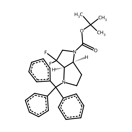 CC(C)(C)OC(=O)N1CC(F)(F)[C@H]2[C@@H]1CCN2C(c1ccccc1)(c1ccccc1)c1ccccc1